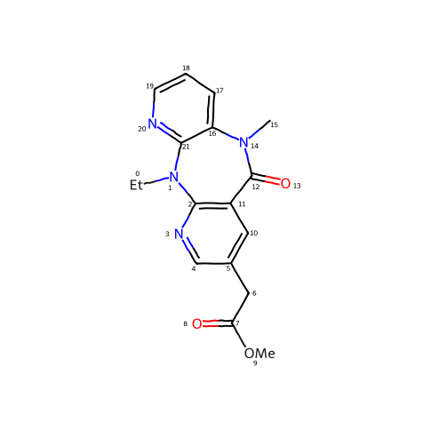 CCN1c2ncc(CC(=O)OC)cc2C(=O)N(C)c2cccnc21